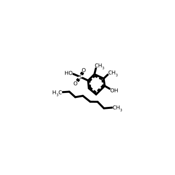 CCCCCCCC.Cc1c(O)ccc(S(=O)(=O)O)c1C